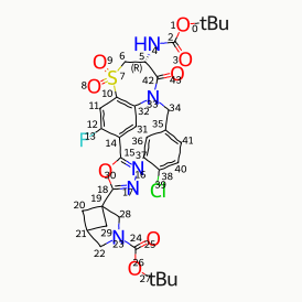 CC(C)(C)OC(=O)N[C@H]1CS(=O)(=O)c2cc(F)c(-c3nnc(C45CC(CN(C(=O)OC(C)(C)C)C4)C5)o3)cc2N(Cc2ccc(Cl)cc2)C1=O